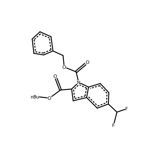 CCCCOC(=O)c1cc2cc(C(F)F)ccc2n1C(=O)OCc1ccccc1